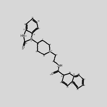 O=C(NCCN1CCC(n2c(=O)[nH]c3ccccc32)CC1)C1C=Cc2ccccc2C1